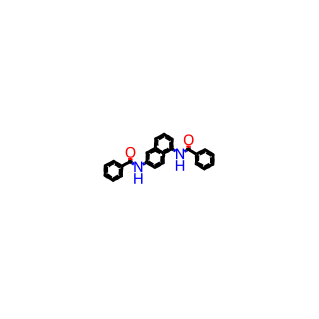 O=C(Nc1ccc2c(NC(=O)c3ccccc3)cccc2c1)c1ccccc1